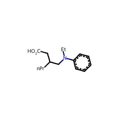 CCCC(CC(=O)O)CN(CC)c1ccccc1